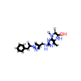 Cc1nc(NCc2cnn(C(C)Cc3ccccc3)c2)nc2c1NC(O)[C@H](C)N2C